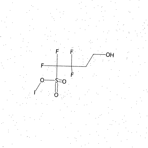 O=S(=O)(OI)C(F)(F)C(F)(F)CCO